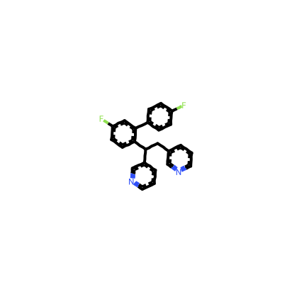 Fc1ccc(-c2cc(F)ccc2C(Cc2cccnc2)c2cccnc2)cc1